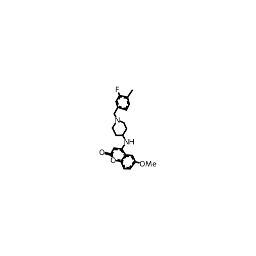 COc1ccc2oc(=O)cc(NC3CCN(Cc4ccc(C)c(F)c4)CC3)c2c1